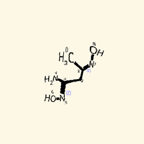 C/C(C/C(N)=N/O)=N\O